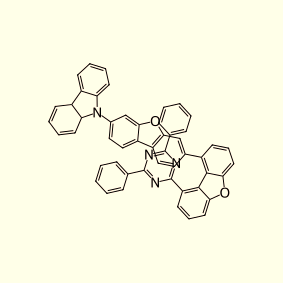 C1=CC2c3ccccc3N(c3ccc4c(c3)oc3cc(-c5cccc6oc7cccc(-c8nc(-c9ccccc9)nc(-c9ccccc9)n8)c7c56)ccc34)C2C=C1